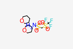 C1CCOCC1.C1CCOCC1.NS(=O)(=O)CS(=O)(=O)C(F)(F)F